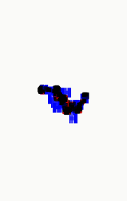 O=C(Nc1cccc(C(=O)Nc2cccc(NCCCN3CCCC3)c2)c1)Nc1cccc(C(=O)Nc2cccc(NCCCN3CCCC3)c2)c1